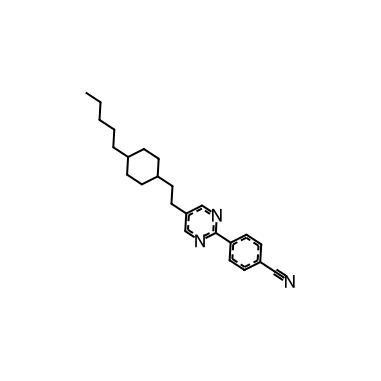 CCCCCC1CCC(CCc2cnc(-c3ccc(C#N)cc3)nc2)CC1